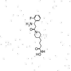 N[C@@H](CC(=O)N1CCC(CCCC(=O)NO)CC1)c1ccccc1F